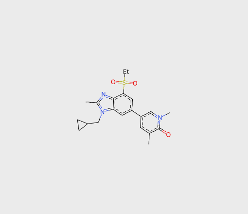 CCS(=O)(=O)c1cc(-c2cc(C)c(=O)n(C)c2)cc2c1nc(C)n2CC1CC1